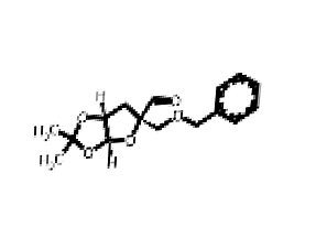 CC1(C)O[C@H]2O[C@](C=O)(COCc3ccccc3)C[C@H]2O1